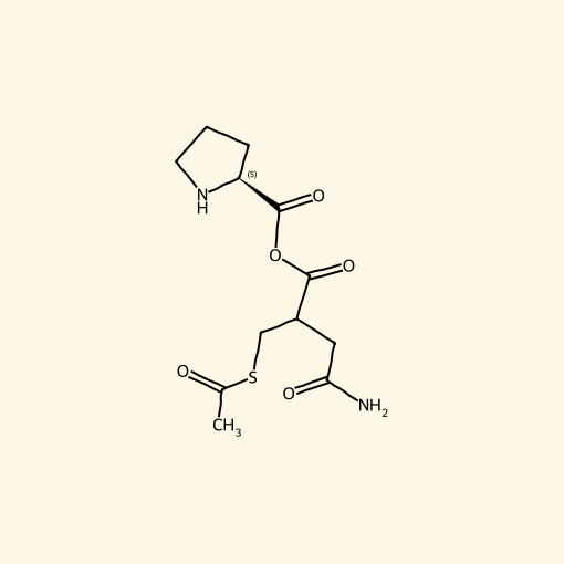 CC(=O)SCC(CC(N)=O)C(=O)OC(=O)[C@@H]1CCCN1